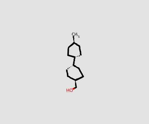 C[C@H]1CC[C@H]([C@H]2CC[C@H](CO)CC2)CC1